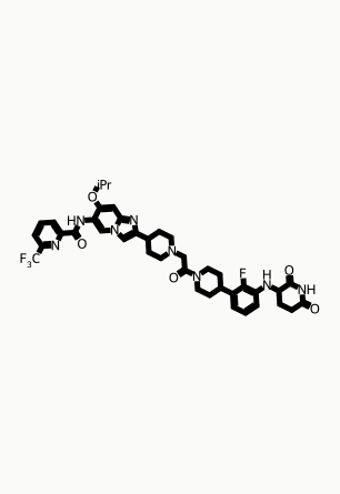 CC(C)Oc1cc2nc(C3CCN(CC(=O)N4CCC(c5cccc(NC6CCC(=O)NC6=O)c5F)CC4)CC3)cn2cc1NC(=O)c1cccc(C(F)(F)F)n1